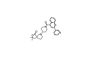 CC1(C)CC2(CCCN(C3CCN(C(=O)c4cc(-c5cccnc5)nc5ccccc45)CC3)C2)C(=O)O1